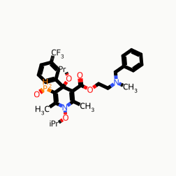 CC1=C([PH2]=O)C(OC(C)C)(c2cccc(C(F)(F)F)c2)C(C(=O)OCCN(C)Cc2ccccc2)=C(C)N1OC(C)C